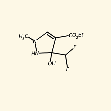 CCOC(=O)C1=CN(C)NC1(O)C(F)F